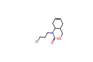 O=CN(CCCCl)C1CC=CCC1CO